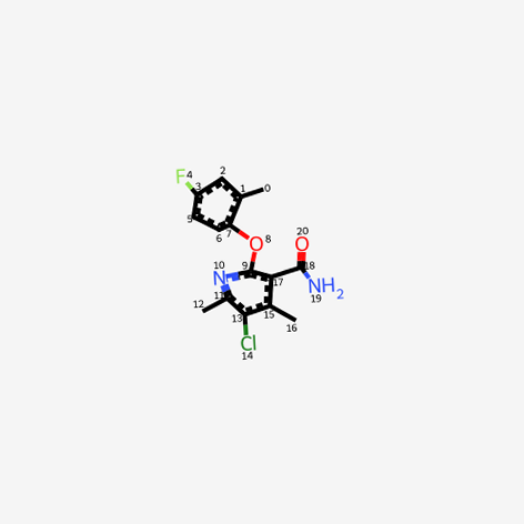 Cc1cc(F)ccc1Oc1nc(C)c(Cl)c(C)c1C(N)=O